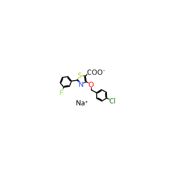 O=C([O-])c1sc(-c2cccc(F)c2)nc1OCc1ccc(Cl)cc1.[Na+]